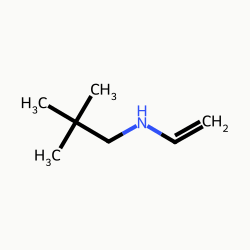 C=CNCC(C)(C)C